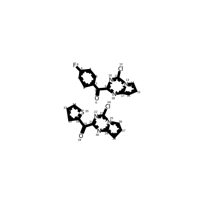 O=C(c1ccc(F)cc1)c1nc(Cl)n2cccc2n1.O=C(c1nc(Cl)n2cccc2n1)c1cccs1